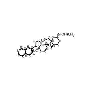 CN(O)C1CCC2=CC3=CCC4(C)C(c5ccc6ccncc6c5)CC[C@H]4[C@@]34CC[C@]2(C1)O4